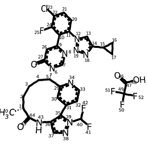 C[C@@H]1CCC[C@H](n2cnc(-c3c(-n4cc(C5CC5)nn4)ccc(Cl)c3F)cc2=O)c2cc(ccn2)-c2c(cnn2C(F)F)NC1=O.O=C(O)C(F)(F)F